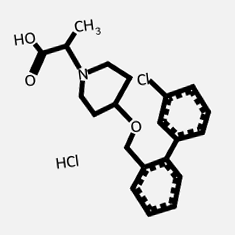 CC(C(=O)O)N1CCC(OCc2ccccc2-c2cccc(Cl)c2)CC1.Cl